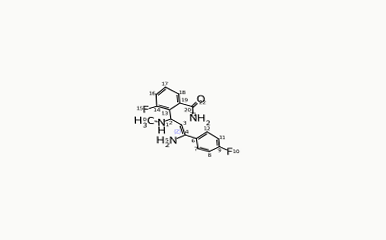 CNC(/C=C(\N)c1ccc(F)cc1)c1c(F)cccc1C(N)=O